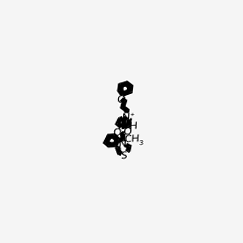 CC(C(=O)O[C@H]1C[N+]2(CCCOc3ccccc3)CCC1CC2)(c1ccccc1)N1CCSCC1